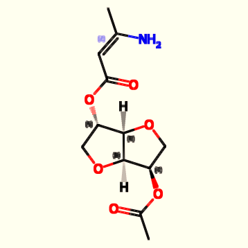 CC(=O)O[C@@H]1CO[C@H]2[C@@H]1OC[C@@H]2OC(=O)/C=C(/C)N